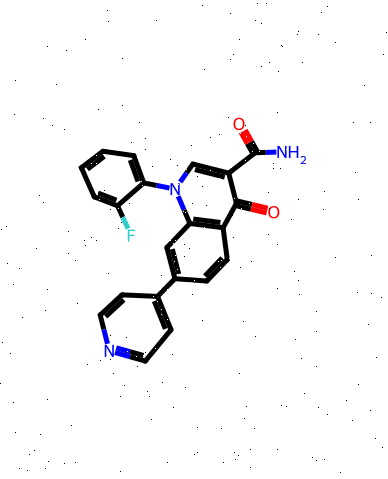 NC(=O)c1cn(-c2ccccc2F)c2cc(-c3ccncc3)ccc2c1=O